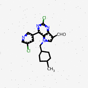 CC1CCC(Cn2cc(C=O)c3nc(Cl)nc(-c4cncc(Cl)c4)c32)CC1